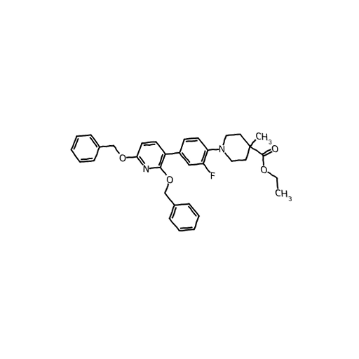 CCOC(=O)C1(C)CCN(c2ccc(-c3ccc(OCc4ccccc4)nc3OCc3ccccc3)cc2F)CC1